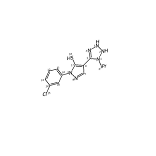 CC(C)N1NNN=C1c1cnn(-c2cccc(Cl)c2)c1S